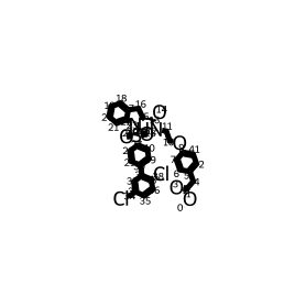 COC(=O)Cc1ccc(OCCNC(=O)[C@@H]2Cc3ccccc3N2S(=O)(=O)c2ccc(-c3cc(Cl)ccc3Cl)cc2)cc1